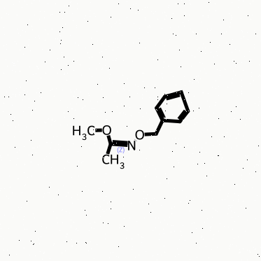 CO/C(C)=N\OCc1ccccc1